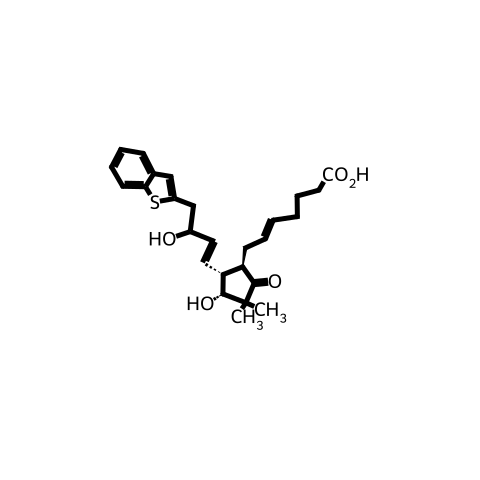 CC1(C)C(=O)[C@H](CC=CCCCC(=O)O)[C@@H](C=CC(O)Cc2cc3ccccc3s2)[C@H]1O